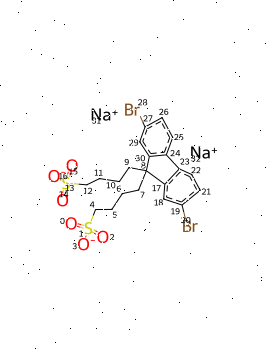 O=S(=O)([O-])CCCCC1(CCCCS(=O)(=O)[O-])c2cc(Br)ccc2-c2ccc(Br)cc21.[Na+].[Na+]